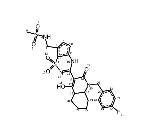 CS(=O)(=O)NCc1csc2c1S(=O)(=O)N=C(C1=C(O)C3CCCCC3N(Cc3ccc(F)cc3)C1=O)N2